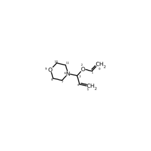 C=COC(C=C)N1CCOCC1